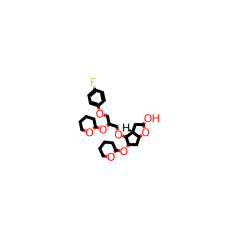 OC1C[C@@H]2C(CC(OC3CCCCO3)C2OCC(COc2ccc(F)cc2)OC2CCCCO2)O1